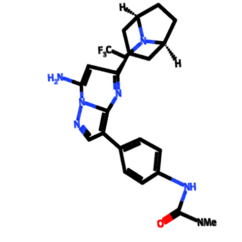 CNC(=O)Nc1ccc(-c2cnn3c(N)cc([C@H]4C[C@H]5CC[C@@H](C4)N5CC(F)(F)F)nc23)cc1